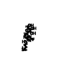 C[Si](C)(C)CCCNc1nc(F)nc2c1ncn2C1OC(CO)C(O)C1O